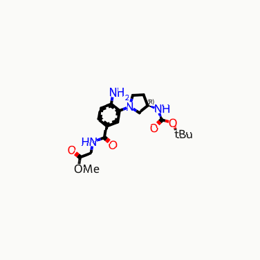 COC(=O)CNC(=O)c1ccc(N)c(N2CC[C@@H](NC(=O)OC(C)(C)C)C2)c1